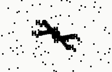 CCCCCCCCCCCCN(CCCC[C@H]1NC(=O)[C@@H](CCCCN(CCCCCCCCCCCC)C[C@@H](O)CCCCCCCCCC)NC1=O)C[C@H](O)CCCCCCCCCC